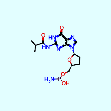 CC(C)C(=O)Nc1nc2c(ncn2[C@H]2CC[C@@H](COP(N)O)O2)c(=O)[nH]1